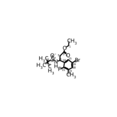 CCOC(=O)CC(N[S@+]([O-])C(C)(C)C)c1cc(Br)cc(C)c1F